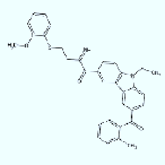 CCn1c2ccc(C(=O)C(=N)CCSc3ccccc3OC)cc2c2cc(C(=O)c3ccccc3C)ccc21